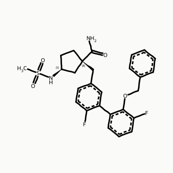 CS(=O)(=O)N[C@H]1CC[C@](Cc2ccc(F)c(-c3cccc(F)c3OCc3ccccc3)c2)(C(N)=O)C1